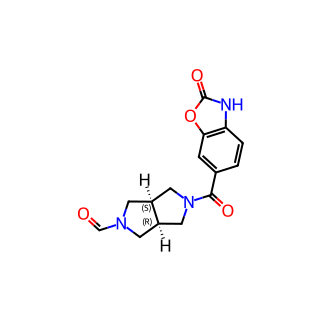 O=CN1C[C@@H]2CN(C(=O)c3ccc4[nH]c(=O)oc4c3)C[C@@H]2C1